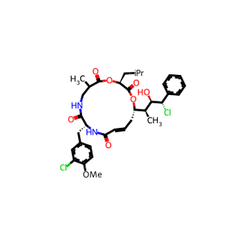 COc1ccc(C[C@H]2NC(=O)/C=C/C[C@@H]([C@H](C)[C@@H](O)[C@@H](Cl)c3ccccc3)OC(=O)[C@H](CC(C)C)OC(=O)C(C)CNC2=O)cc1Cl